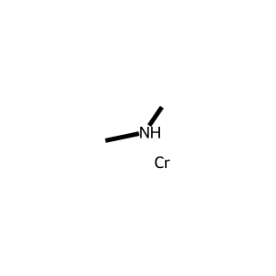 CNC.[Cr]